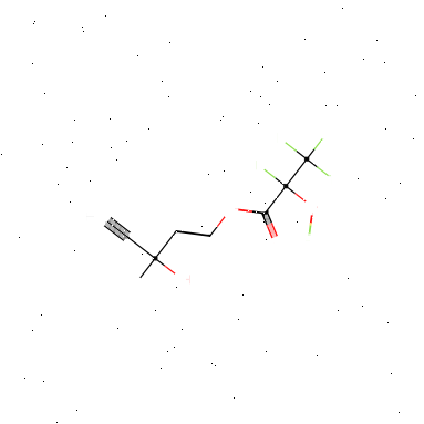 C#CC(C)(O)CCOC(=O)C(F)(OF)C(F)(F)F